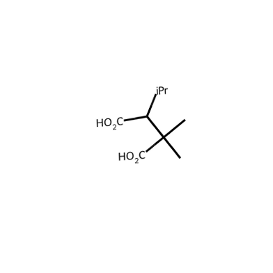 CC(C)C(C(=O)O)C(C)(C)C(=O)O